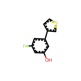 Oc1cc(F)cc(-c2ccsc2)c1